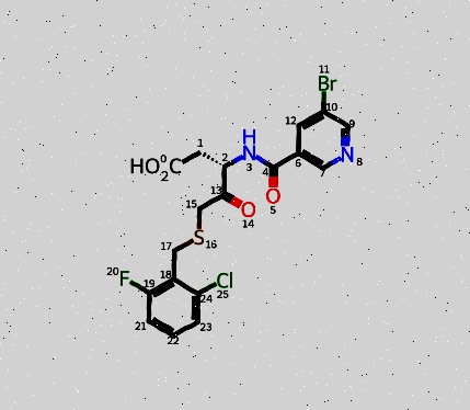 O=C(O)C[C@H](NC(=O)c1cncc(Br)c1)C(=O)CSCc1c(F)cccc1Cl